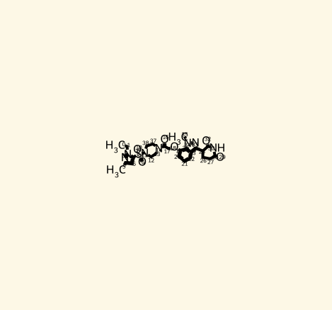 CCn1nc(C)cc1S(=O)(=O)N1CCN(C(=O)COc2cccc3c(C4CCC(=O)NC4=O)nn(C)c23)CC1